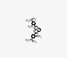 CN(C)c1ccc(C2=NC3=CC=CC4=NC(c5ccc(N(C)C)cc5N)=NC(=N2)N34)c(N)c1